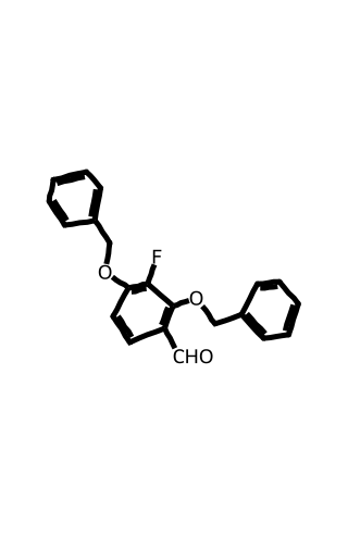 O=Cc1ccc(OCc2ccccc2)c(F)c1OCc1ccccc1